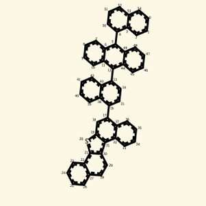 c1ccc2c(-c3c4ccccc4c(-c4ccc(-c5cc6sc7c8ccccc8ccc7c6c6ccccc56)c5ccccc45)c4ccccc34)cccc2c1